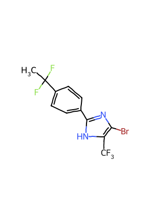 CC(F)(F)c1ccc(-c2nc(Br)c(C(F)(F)F)[nH]2)cc1